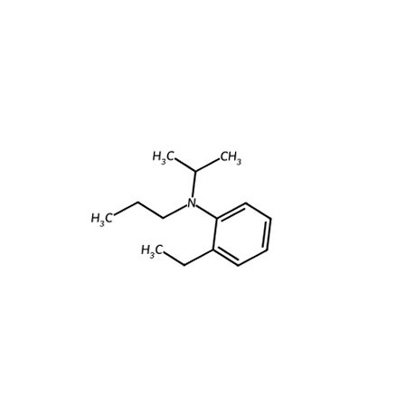 CCCN(c1ccccc1CC)C(C)C